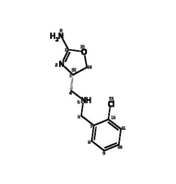 NC1=N[C@@H](CNCc2ccccc2Cl)CO1